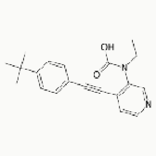 CCN(C(=O)O)c1cnccc1C#Cc1ccc(C(C)(C)C)cc1